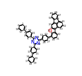 c1ccc(-c2ccc(-c3nc(-c4ccc(-c5ccccc5)cc4)nc(-c4ccc(-c5cccc6c5oc5cc7c8c(cccc8c56)-c5ccccc5-7)cc4)n3)cc2)cc1